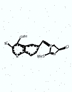 COc1c(C#N)cnc2ccc(/C=S3/CC(=O)N=C3SC)cc12